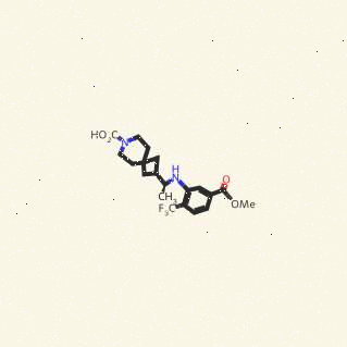 COC(=O)c1ccc(C(F)(F)F)c(N[C@@H](C)C2CC3(CCN(C(=O)O)CC3)C2)c1